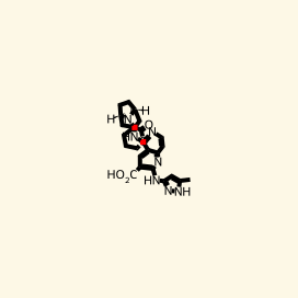 Cc1cc(Nc2nc3ccnc(NC4C[C@H]5CC[C@@H](C4)N5C4CCCOC4=O)c3cc2C(=O)O)n[nH]1